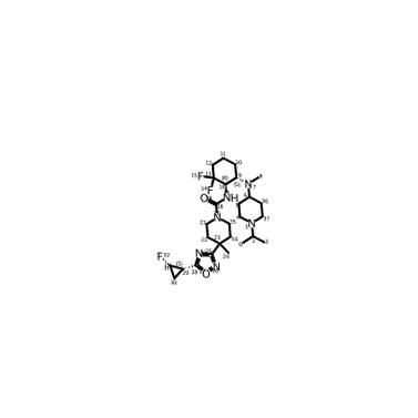 CC(C)N1CCC(N(C)[C@H]2CCCC(F)(F)[C@@H]2NC(=O)N2CCC(C)(c3noc([C@@H]4C[C@@H]4F)n3)CC2)CC1